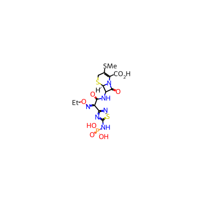 CCO/N=C(\C(=O)NC1C(=O)N2C(C(=O)O)=C(SC)CS[C@H]12)c1nsc(NP(=O)(O)O)n1